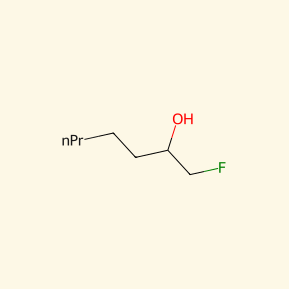 CCCCCC(O)CF